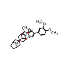 COc1ccc(-c2cn3cc(C4CC5CCC(C4)N5C4CCN(C5CC5)CC4)cc(C)c3n2)cc1OC